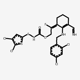 N=CC1=C(NCc2ccc(Cl)cc2Cl)/C(=C(/F)COC(=O)NSc2cc(Cl)c(Cl)s2)CCC1